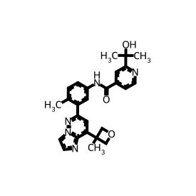 Cc1ccc(NC(=O)c2ccnc(C(C)(C)O)c2)cc1-c1cc(C2(C)COC2)c2nccn2n1